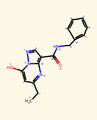 CCc1cc(O)n2ncc(C(=O)NCc3ccccc3)c2n1